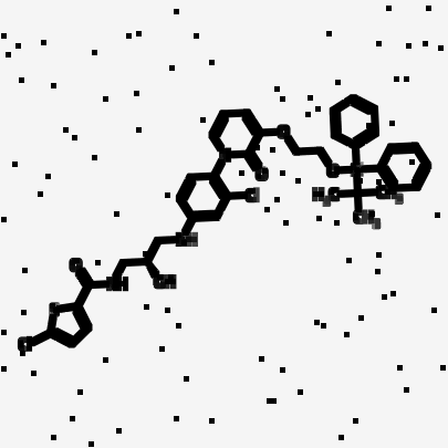 CC(C)(C)[Si](OCCOc1cccn(-c2ccc(NC[C@@H](O)CNC(=O)c3ccc(Cl)s3)cc2Cl)c1=O)(c1ccccc1)c1ccccc1